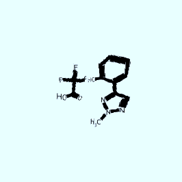 Cn1ncc(-c2ccccc2O)n1.O=C(O)C(F)(F)F